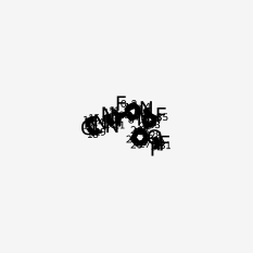 Fc1cc2nc3n(c2cc1-c1cnc(N2CCOCC2)nc1)[C@@H](c1ccccc1OC(F)F)C[C@@H]3F